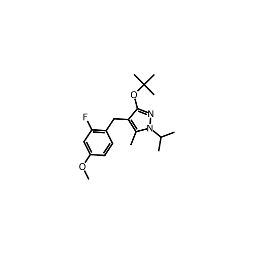 COc1ccc(Cc2c(OC(C)(C)C)nn(C(C)C)c2C)c(F)c1